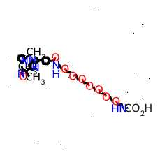 Cc1noc(C)c1-c1cnc2c(-c3ccc(C(=O)NCCOCCOCCOCCOCCOCCOCCOCCNC(=O)O)cc3)cn(C(C)c3ccccn3)c2c1